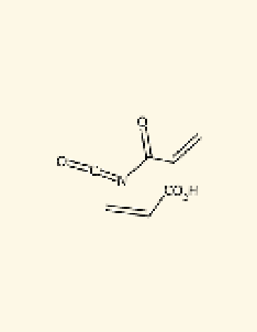 C=CC(=O)N=C=O.C=CC(=O)O